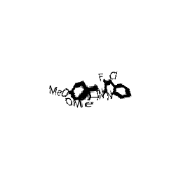 COc1ccc(CNc2nc3ccccc3c(Cl)c2F)c(OC)c1